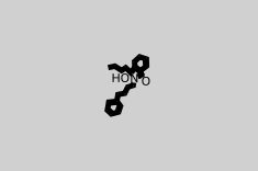 CCCCC1(O)C2=C(C=CCC2)C(=O)N1CCCCc1ccccc1